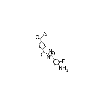 CCC(c1ccc(C(=O)C2CC2)cc1)c1noc(-c2ccc(N)c(F)c2)n1